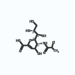 CC(Cl)C(=O)N[C@@H]1C(O)C=C(C(=O)O)O[C@H]1[C@H](O)[C@H](O)CO